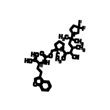 CC(CC(C)(C)N1CCC(F)(F)C1)C(C#N)C(=O)N1CCC[C@]1(C)COC(=O)N[C@@H](CCc1coc2ccccc12)B(O)O